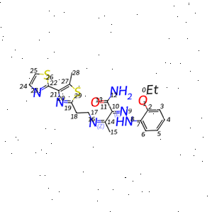 CCOc1ccccc1N/N=C(C(N)=O)\C(C)=N/CCc1nc(-c2nccs2)c(C)s1